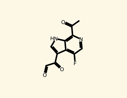 CC(=O)c1ncc(F)c2c(C(=O)C=O)c[nH]c12